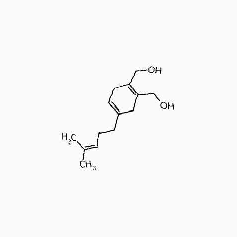 CC(C)=CCCC1=CCC(CO)=C(CO)C1